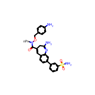 CCCN(OCc1ccc(N)cc1)C(=O)C1=Cc2ccc(-c3cccc(S(N)(=O)=O)c3)cc2N=C(N)C1